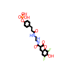 O=C(CCc1ccc(OP(=O)(O)O)cc1)NCCNC(=O)c1cc2cc(F)c(O)c(F)c2oc1=O